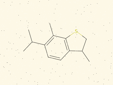 Cc1c(C(C)C)ccc2c1SCC2C